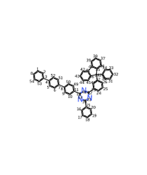 c1ccc(-c2ccc(-c3ccc(-c4nc(-c5ccccc5)nc(-c5cccc(C6(c7ccccc7)c7ccccc7-c7ccccc76)c5)n4)cc3)cc2)cc1